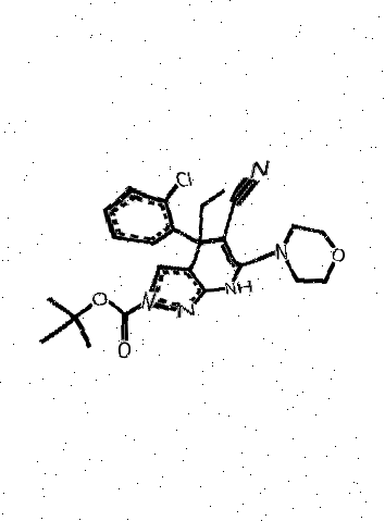 CCC1(c2ccccc2Cl)C(C#N)=C(N2CCOCC2)Nc2nn(C(=O)OC(C)(C)C)cc21